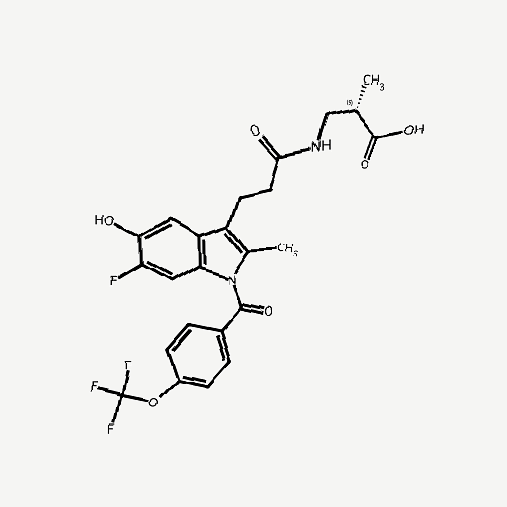 Cc1c(CCC(=O)NC[C@H](C)C(=O)O)c2cc(O)c(F)cc2n1C(=O)c1ccc(OC(F)(F)F)cc1